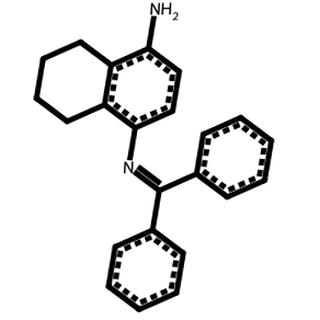 Nc1ccc(N=C(c2ccccc2)c2ccccc2)c2c1CCCC2